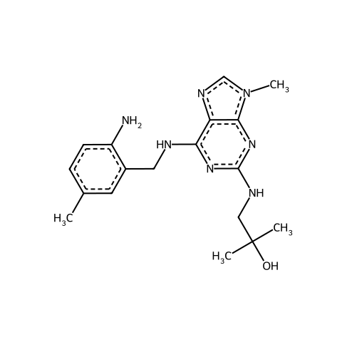 Cc1ccc(N)c(CNc2nc(NCC(C)(C)O)nc3c2ncn3C)c1